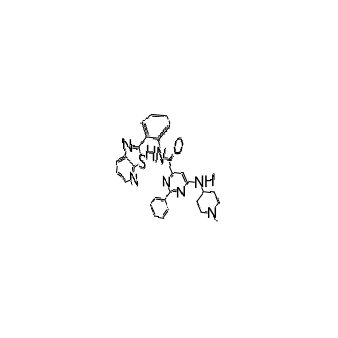 CN1CCC(Nc2cc(C(=O)Nc3ccccc3-c3nc4cccnc4s3)nc(-c3ccccc3)n2)CC1